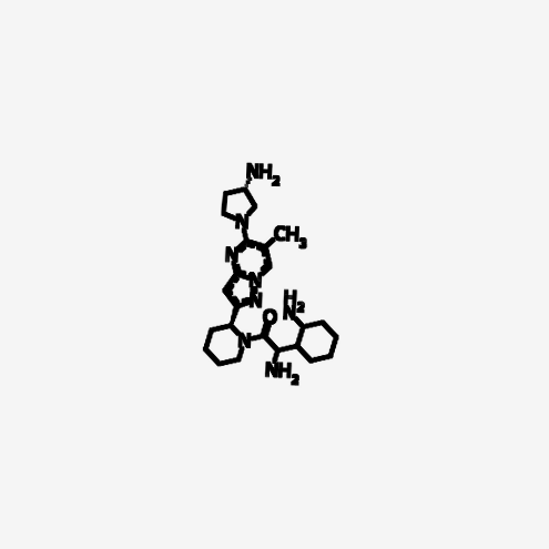 Cc1cn2nc([C@@H]3CCCCN3C(=O)C(N)C3CCCCC3N)cc2nc1N1CC[C@H](N)C1